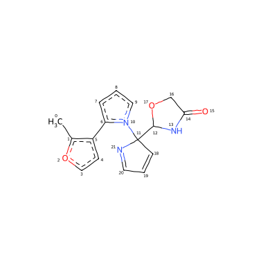 Cc1occc1-c1cccn1C1(C2NC(=O)CO2)C=CC=N1